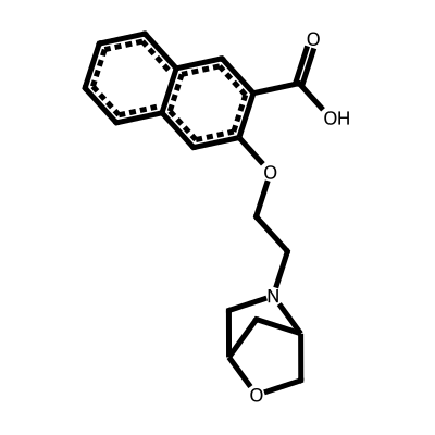 O=C(O)c1cc2ccccc2cc1OCCN1CC2CC1CO2